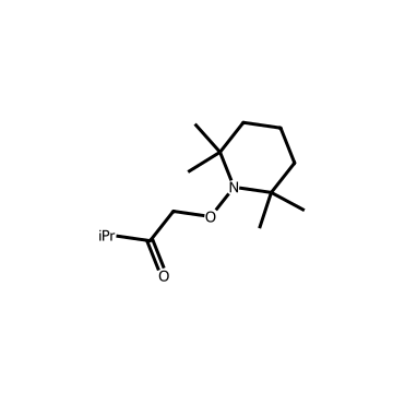 CC(C)C(=O)CON1C(C)(C)CCCC1(C)C